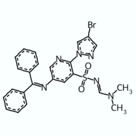 CN(C)C=NS(=O)(=O)c1cc(N=C(c2ccccc2)c2ccccc2)cnc1-n1cc(Br)cn1